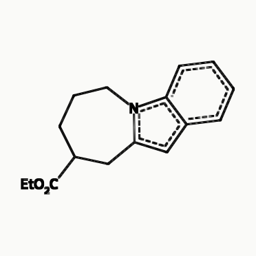 CCOC(=O)C1CCCn2c(cc3ccccc32)C1